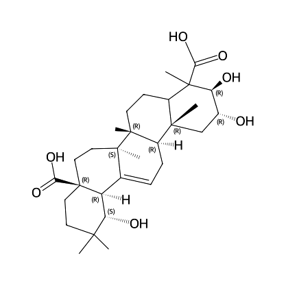 CC1(C)CC[C@]2(C(=O)O)CC[C@]3(C)C(=CC[C@@H]4[C@@]5(C)C[C@@H](O)[C@H](O)C(C)(C(=O)O)C5CC[C@]43C)[C@H]2[C@@H]1O